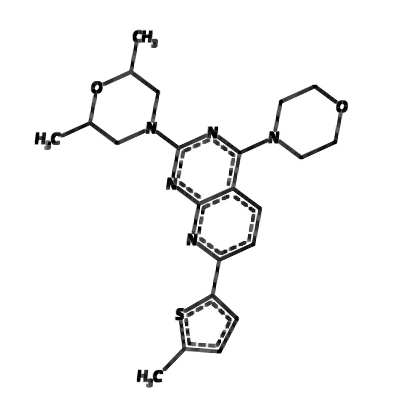 Cc1ccc(-c2ccc3c(N4CCOCC4)nc(N4CC(C)OC(C)C4)nc3n2)s1